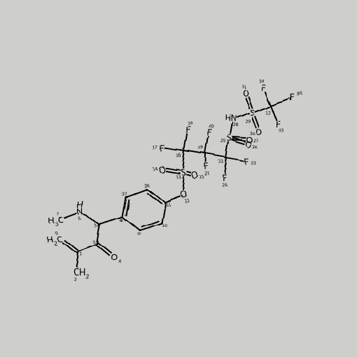 C=C(C)C(=O)C(NC)c1ccc(OS(=O)(=O)C(F)(F)C(F)(F)C(F)(F)S(=O)(=O)NS(=O)(=O)C(F)(F)F)cc1